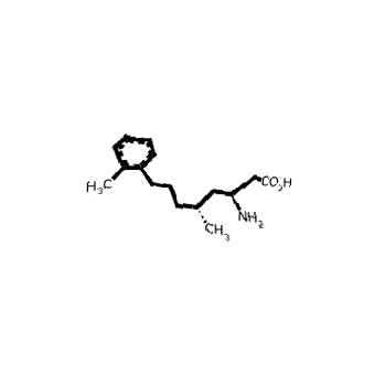 Cc1ccccc1CCC[C@@H](C)C[C@H](N)CC(=O)O